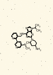 CC(C)n1cnc2c(NCc3cccnc3-c3cncc(N(C)C)c3)nc(N3CCC(N)CC3)nc21